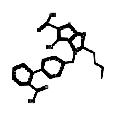 CCCCc1nc2sc(C(=O)O)c(O)c2n1Cc1ccc(-c2ccccc2C(=O)O)cc1